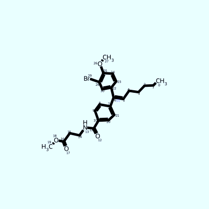 CCCCC/C=C(/c1ccc(C(=O)NCCC(=O)OC)cc1)c1ccc(OC)c(Br)c1